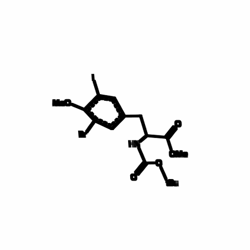 COC(=O)C(Cc1cc(Br)c(OC)c(I)c1)NC(=O)OC(C)(C)C